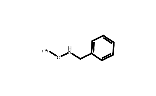 CCCONCc1ccccc1